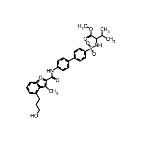 COC(=O)C(NS(=O)(=O)c1ccc(-c2ccc(NC(=O)c3oc4cccc(CCCO)c4c3C)cc2)cc1)C(C)C